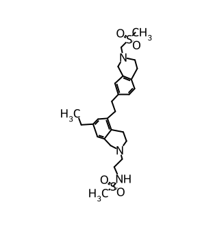 CCc1cc(CCc2ccc3c(c2)CN(CS(C)(=O)=O)CC3)c2c(c1)CN(CCNS(C)(=O)=O)CC2